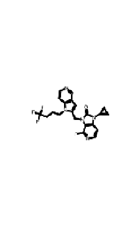 O=c1n(Cc2cc3cnccc3n2CCCC(F)(F)F)c2c(F)nccc2n1C1CC1